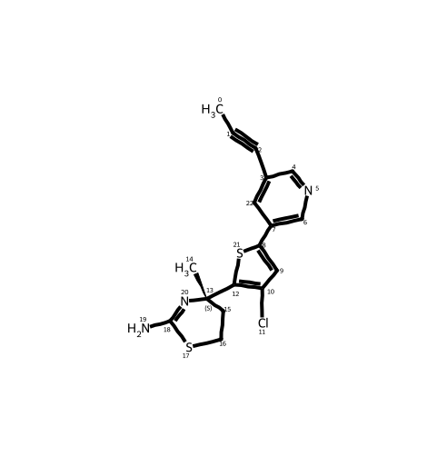 CC#Cc1cncc(-c2cc(Cl)c([C@]3(C)CCSC(N)=N3)s2)c1